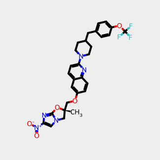 C[C@@]1(COc2ccc3nc(N4CCC(Cc5ccc(OC(F)(F)F)cc5)CC4)ccc3c2)Cn2cc([N+](=O)[O-])nc2O1